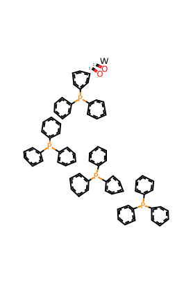 [C]=O.[C]=O.[W].c1ccc(P(c2ccccc2)c2ccccc2)cc1.c1ccc(P(c2ccccc2)c2ccccc2)cc1.c1ccc(P(c2ccccc2)c2ccccc2)cc1.c1ccc(P(c2ccccc2)c2ccccc2)cc1